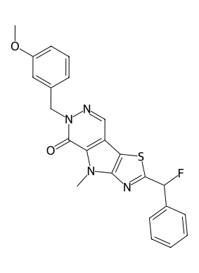 COc1cccc(Cn2ncc3c4sc(C(F)c5ccccc5)nc4n(C)c3c2=O)c1